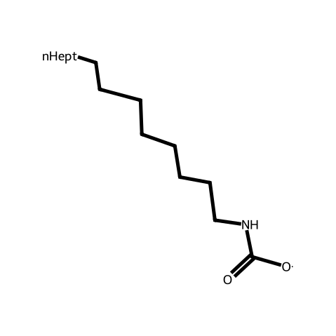 CCCCCCCCCCCCCCCNC([O])=O